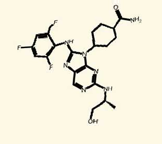 C[C@@H](CO)Nc1ncc2nc(Nc3c(F)cc(F)cc3F)n(C3CCC(C(N)=O)CC3)c2n1